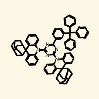 c1ccc(C(c2ccccc2)(c2ccccc2)c2cccc(-c3nc(N4c5ccccc5C5(c6ccccc64)C4CC6CC(C4)CC5C6)nc(N4c5ccccc5C5(c6ccccc64)C4CC6CC(C4)CC5C6)n3)c2)cc1